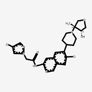 C[C@@]1(N2CCC(c3cc4cc(NC(=O)Cn5cc(Cl)cn5)ncc4cc3Cl)CC2)COC[C@@H]1O